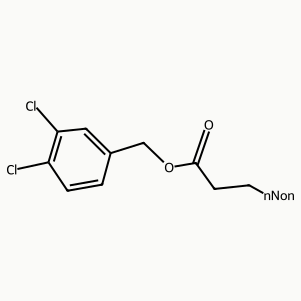 CCCCCCCCCCCC(=O)OCc1ccc(Cl)c(Cl)c1